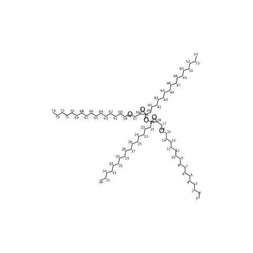 CCCCCCCCCCCCCCCCOCC1OC1(CCCCCCCCCCCCCCCC)OC1(CCCCCCCCCCCCCCCC)OC1COCCCCCCCCCCCCCCCC